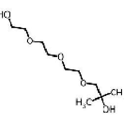 CC(C)(O)COCCOCCOCCO